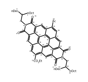 CCCCCCCCCCC(CCCCCCCC)Cn1c(=O)c2cc3cc(C(=O)OCC)c4cc5c(=O)n(CC(CCCCCCCC)CCCCCCCCCC)c(=O)c6cc7cc(C(C)=O)c8cc(c1=O)c2c1c3c4c(c65)c7c81